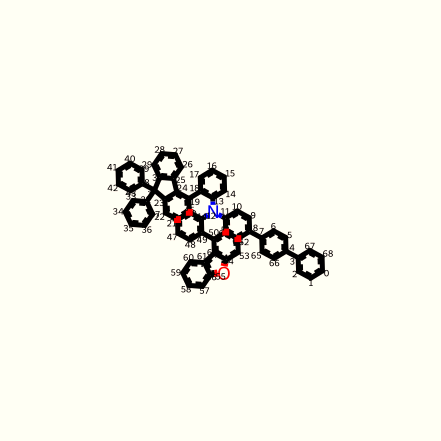 c1ccc(-c2ccc(-c3ccc(N(c4ccccc4-c4cccc5c4-c4ccccc4C5(c4ccccc4)c4ccccc4)c4ccccc4-c4cccc5oc6ccccc6c45)cc3)cc2)cc1